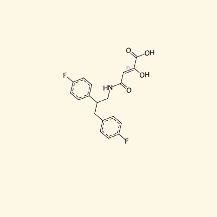 O=C(/C=C(\O)C(=O)O)NCC(Cc1ccc(F)cc1)c1ccc(F)cc1